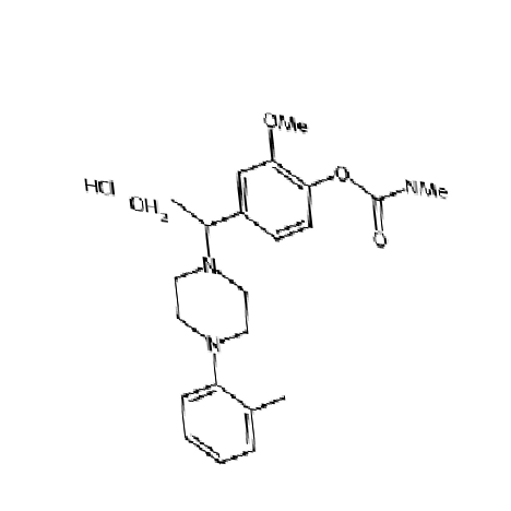 CNC(=O)Oc1ccc(C(C)N2CCN(c3ccccc3C)CC2)cc1OC.Cl.O